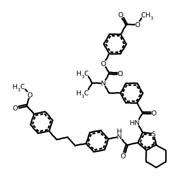 COC(=O)c1ccc(CCCc2ccc(NC(=O)c3c(NC(=O)c4cccc(CN(C(=O)Oc5ccc(C(=O)OC)cc5)C(C)C)c4)sc4c3CCCC4)cc2)cc1